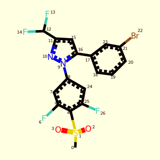 CS(=O)(=O)c1c(F)cc(-n2nc(C(F)F)cc2-c2cccc(Br)c2)cc1F